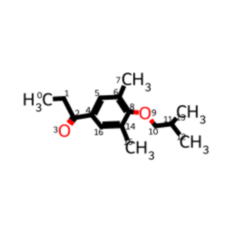 CCC(=O)c1cc(C)c(OCC(C)C)c(C)c1